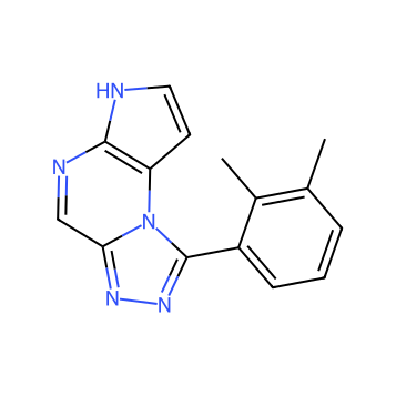 Cc1cccc(-c2nnc3cnc4[nH]ccc4n23)c1C